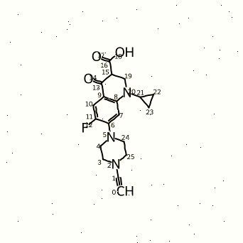 C#CN1CCN(c2cc3c(cc2F)C(=O)C(C(=O)O)CN3C2CC2)CC1